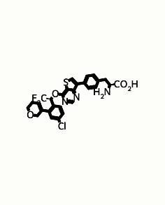 N[C@@H](Cc1ccc(-c2csc3c(O[C@H](c4ccc(Cl)cc4C4=CCCOC4)C(F)(F)F)ncnc23)cc1)C(=O)O